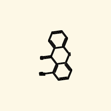 CC(C)(C)c1cccc2sc3ccccc3c(=O)c12